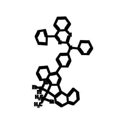 CC[Si](C)(C)C1([Si](CC)(CC)CC)c2ccc3ccccc3c2-c2cc(-c3ccc(N(c4ccccc4)c4nc(-c5ccccc5)c5ccccc5n4)cc3)c3ccccc3c21